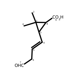 CC1(C)C(C=CCC=O)C1C(=O)O